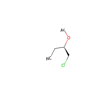 CC(=O)O[C@@H](CCl)CC#N